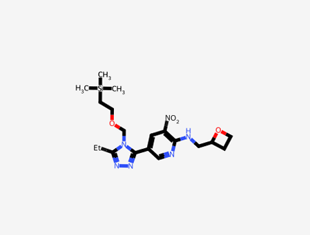 CCc1nnc(-c2cnc(NCC3CCO3)c([N+](=O)[O-])c2)n1COCC[Si](C)(C)C